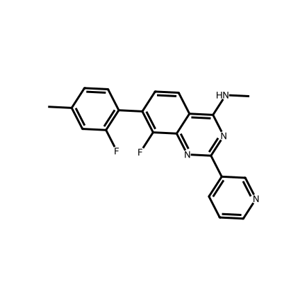 CNc1nc(-c2cccnc2)nc2c(F)c(-c3ccc(C)cc3F)ccc12